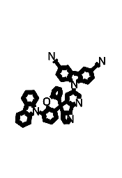 N#Cc1ccc2c(c1)c1cc(C#N)ccc1n2-c1cnc2c(c1)C1(c3ccccc3Oc3c(-n4c5ccccc5c5ccccc54)cccc31)c1cccnc1-2